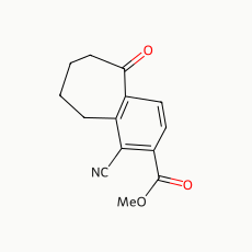 COC(=O)c1ccc2c(c1C#N)CCCCC2=O